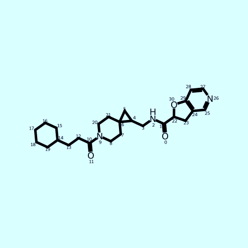 O=C(NCC1CC12CCN(C(=O)CCC1CCCCC1)CC2)C1Cc2cnccc2O1